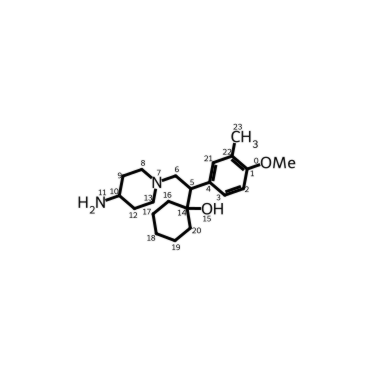 COc1ccc(C(CN2CCC(N)CC2)C2(O)CCCCC2)cc1C